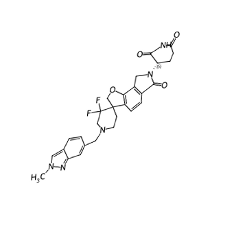 Cn1cc2ccc(CN3CCC4(COc5c4ccc4c5CN([C@H]5CCC(=O)NC5=O)C4=O)C(F)(F)C3)cc2n1